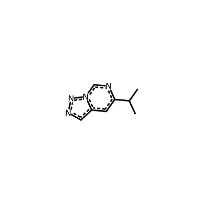 CC(C)c1cc2cnnn2cn1